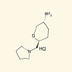 Cl.N[C@@H]1CC[C@@H](CN2CCCC2)OC1